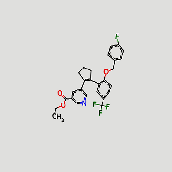 CCOC(=O)c1cncc(C2=C(c3cc(C(F)(F)F)ccc3OCc3ccc(F)cc3)CCC2)c1